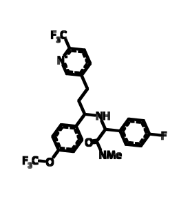 CNC(=O)C(NC(CCc1ccc(C(F)(F)F)nc1)c1ccc(OC(F)(F)F)cc1)c1ccc(F)cc1